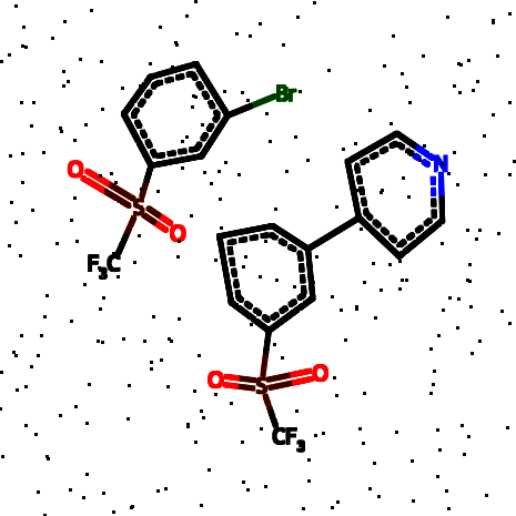 O=S(=O)(c1cccc(-c2ccncc2)c1)C(F)(F)F.O=S(=O)(c1cccc(Br)c1)C(F)(F)F